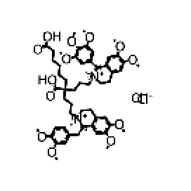 COc1ccc(C[C@@H]2c3cc(OC)c(OC)cc3CC[N@+]2(C)CCCC(CCCCCC(=O)O)(CCC[N@+]2(C)CCc3cc(OC)c(OC)cc3[C@@H]2c2cc(OC)c(OC)c(OC)c2)C(=O)O)cc1OC.[Cl-].[Cl-]